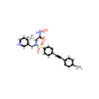 Cc1ccc(C#Cc2ccc(S(=O)(=O)N(Cc3cccnc3)[C@H](C)C(=O)NO)cc2)cc1